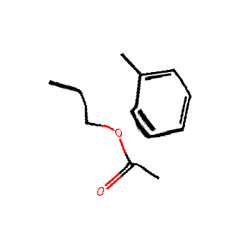 CCCOC(C)=O.Cc1ccccc1